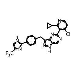 Cn1cc(C(F)(F)F)nc1-c1ccc(Cc2n[nH]c3cnc(-c4c(Cl)ccnc4C4CC4)nc23)cc1